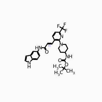 CC(C)(C)OC(=O)NC1CCN(c2nc(C(F)(F)F)ccc2/C=C/C(=O)Nc2ccc3[nH]ccc3c2)CC1